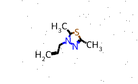 C=CCN1N=C(C)SC1C